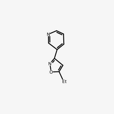 CCc1cc(-c2cccnc2)no1